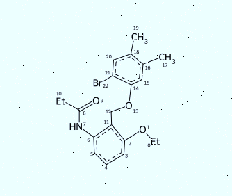 CCOc1cccc(NC(=O)CC)c1COc1cc(C)c(C)cc1Br